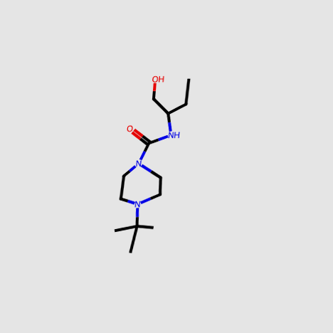 CCC(CO)NC(=O)N1CCN(C(C)(C)C)CC1